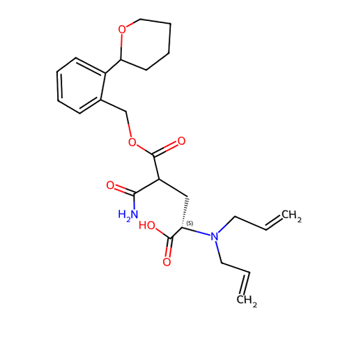 C=CCN(CC=C)[C@@H](CC(C(N)=O)C(=O)OCc1ccccc1C1CCCCO1)C(=O)O